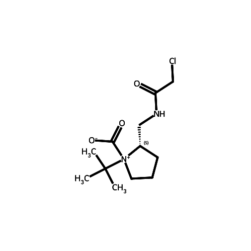 CC(C)(C)[N+]1(C(=O)[O-])CCC[C@H]1CNC(=O)CCl